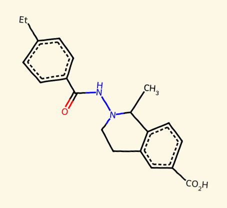 CCc1ccc(C(=O)NN2CCc3cc(C(=O)O)ccc3C2C)cc1